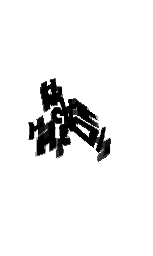 CCC(C)(CN)N(C)C